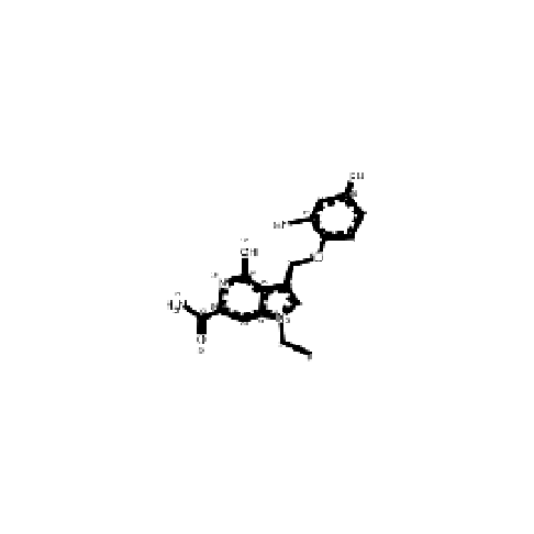 CCn1cc(COc2ccc(F)cc2F)c2c(O)nc(C(N)=O)cc21